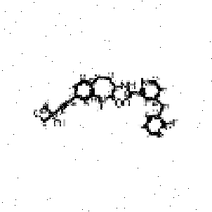 CN1C(=O)[C@H](NC(=O)c2cc(Cc3cccnc3F)ccn2)CCc2ccc(C#CC3(O)COC3)cc21